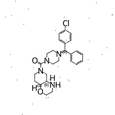 O=C(N1CCN([C@H](c2ccccc2)c2ccc(Cl)cc2)CC1)N1CC[C@@H]2OCCN[C@@H]2C1